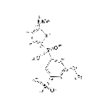 CCOc1cc(S(C)(=O)=O)cc(S(=O)(=O)c2ccc(NC)s2)c1